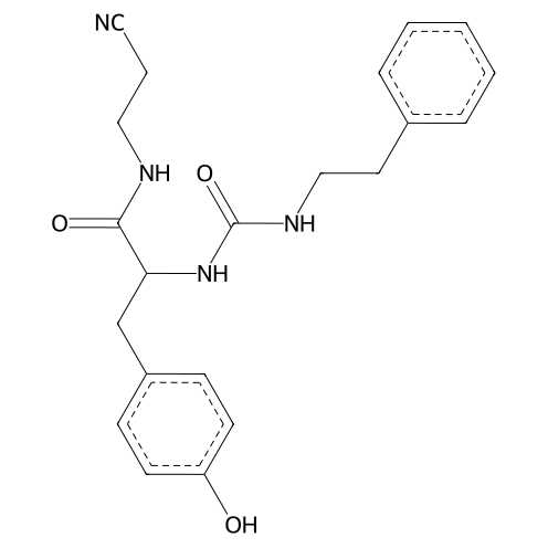 N#CCCNC(=O)C(Cc1ccc(O)cc1)NC(=O)NCCc1ccccc1